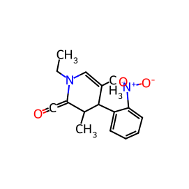 CCN1C=C(C)C(c2ccccc2[N+](=O)[O-])C(C)C1=C=O